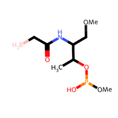 BCC(=O)NC(COC)C(C)OP(O)OC